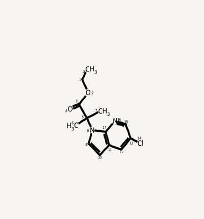 CCOC(=O)C(C)(C)n1ccc2cc(Cl)cnc21